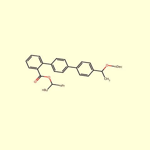 CCCCCCCCCCOC(C)c1ccc(-c2ccc(-c3ccccc3C(=O)OC(CCC)CCCC)cc2)cc1